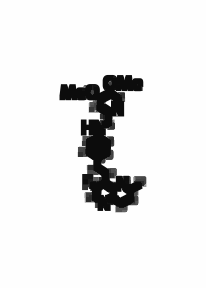 COc1cnc(CNC23CCC(CCc4c(F)cnc5ccc(C)nc45)(CC2)OC3)cc1OC